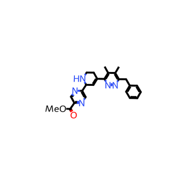 COC(=O)c1cnc(C2C=C(c3nnc(Cc4ccccc4)c(C)c3C)CCN2)cn1